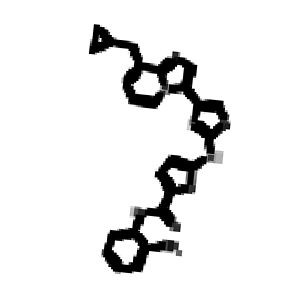 Nc1ccccc1NC(=O)c1ccc(Nc2nc(-c3cnc4c(CC5CC5)cccn34)cs2)s1